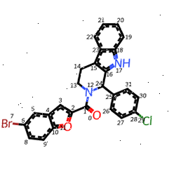 O=C(c1cc2cc(Br)ccc2o1)N1CCc2c([nH]c3ccccc23)C1c1ccc(Cl)cc1